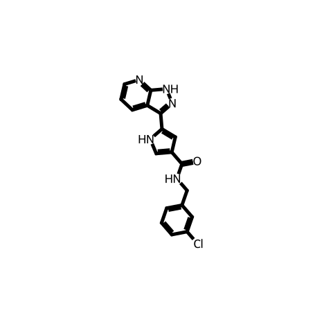 O=C(NCc1cccc(Cl)c1)c1c[nH]c(-c2n[nH]c3ncccc23)c1